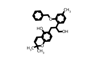 Cc1ccc(C(CO)Cc2ccc3c(c2O)C=CC(C)(C)O3)c(OCc2ccccc2)c1